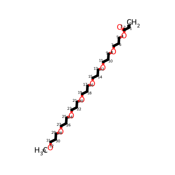 C=CC(=O)OCCCOCCCOCCCOCCCOCCCOCCCOCCCOC